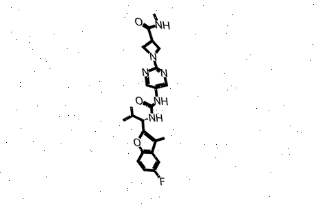 CNC(=O)C1CN(c2ncc(NC(=O)N[C@H](c3oc4ccc(F)cc4c3C)C(C)C)cn2)C1